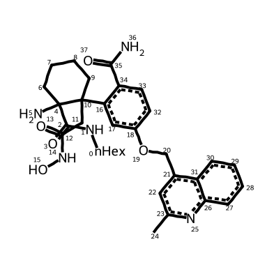 CCCCCCNC(=O)C1(N)CCCCC1(CC(=O)NO)c1cc(OCc2cc(C)nc3ccccc23)ccc1C(N)=O